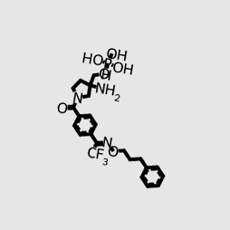 NC1(CO[PH](O)(O)O)CCN(C(=O)c2ccc(/C(=N/OCCCc3ccccc3)C(F)(F)F)cc2)C1